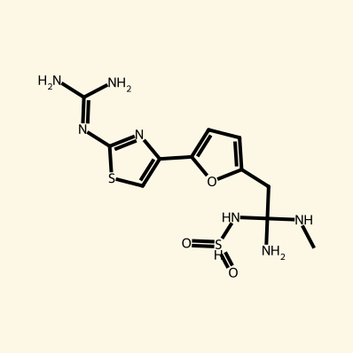 CNC(N)(Cc1ccc(-c2csc(N=C(N)N)n2)o1)N[SH](=O)=O